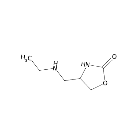 CCNCC1COC(=O)N1